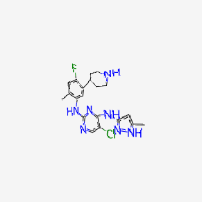 Cc1cc(Nc2nc(Nc3cc(C4CCNCC4)c(F)cc3C)ncc2Cl)n[nH]1